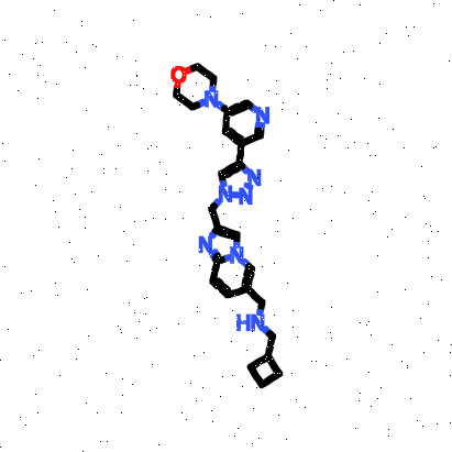 c1cc2nc(Cn3cc(-c4cncc(N5CCOCC5)c4)nn3)cn2cc1CNCC1CCC1